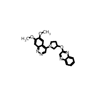 COc1cc2nncc(N3CCC(Oc4cnc5ccccc5n4)C3)c2cc1OC